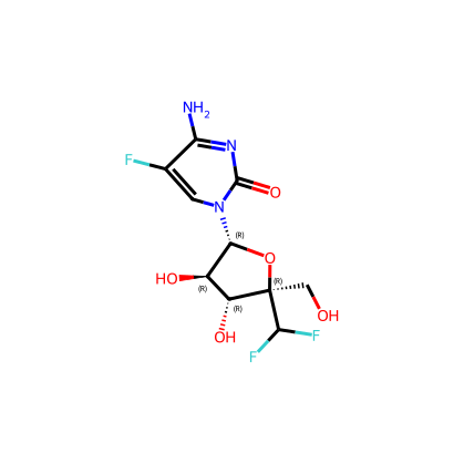 Nc1nc(=O)n([C@@H]2O[C@@](CO)(C(F)F)[C@H](O)[C@H]2O)cc1F